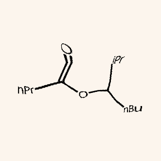 CCCCC(OC(=O)CCC)C(C)C